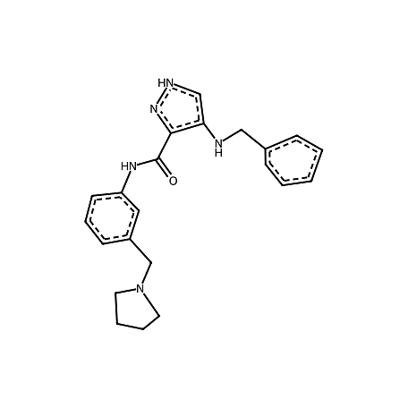 O=C(Nc1cccc(CN2CCCC2)c1)c1n[nH]cc1NCc1ccccc1